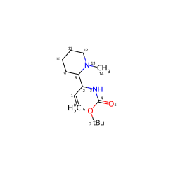 C=CC(NC(=O)OC(C)(C)C)C1CCCCN1C